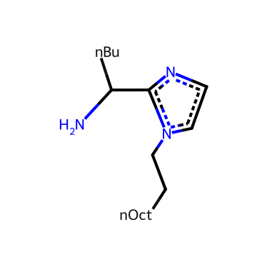 CCCCCCCCCCn1ccnc1C(N)CCCC